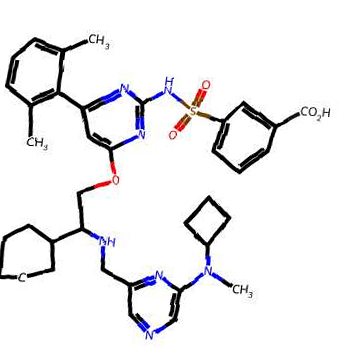 Cc1cccc(C)c1-c1cc(OCC(NCc2cncc(N(C)C3CCC3)n2)C2CCCCC2)nc(NS(=O)(=O)c2cccc(C(=O)O)c2)n1